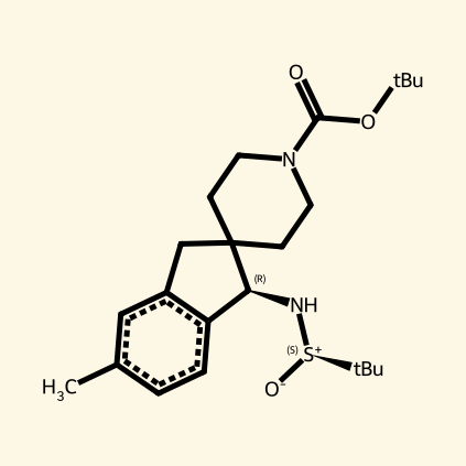 Cc1ccc2c(c1)CC1(CCN(C(=O)OC(C)(C)C)CC1)[C@H]2N[S@+]([O-])C(C)(C)C